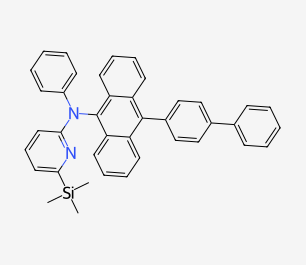 C[Si](C)(C)c1cccc(N(c2ccccc2)c2c3ccccc3c(-c3ccc(-c4ccccc4)cc3)c3ccccc23)n1